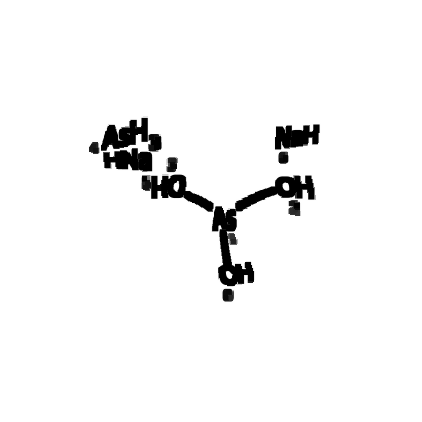 O[As](O)O.[AsH3].[NaH].[NaH]